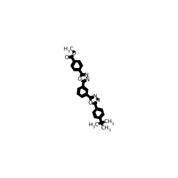 COC(=O)c1ccc(-c2nnc(-c3cccc(-c4nnc(-c5ccc(C(C)(C)C)cc5)o4)c3)o2)cc1